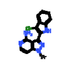 CC(C)n1nc(-c2[nH]c3ccccc3c2Cl)c2c(N)nccc21